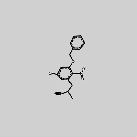 CC(C#N)Cc1cc(Cl)cc(OCc2ccccc2)c1[N+](=O)[O-]